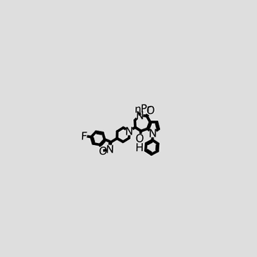 CCCN1CC(N2CCC(c3noc4cc(F)ccc34)CC2)C(O)c2c(ccn2-c2ccccc2)C1=O